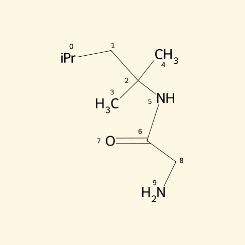 CC(C)CC(C)(C)NC(=O)CN